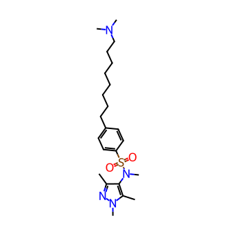 Cc1nn(C)c(C)c1N(C)S(=O)(=O)c1ccc(CCCCCCCCN(C)C)cc1